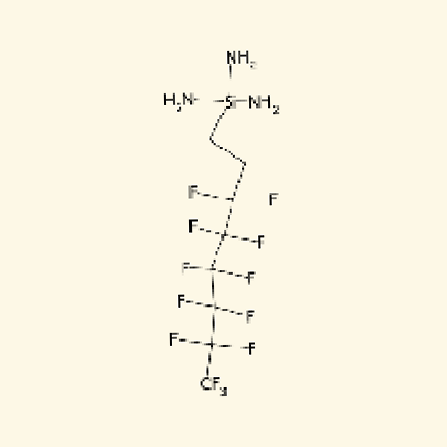 N[Si](N)(N)CCC(F)(F)C(F)(F)C(F)(F)C(F)(F)C(F)(F)C(F)(F)F